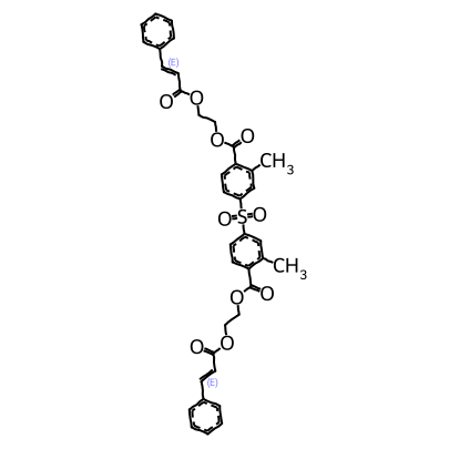 Cc1cc(S(=O)(=O)c2ccc(C(=O)OCCOC(=O)/C=C/c3ccccc3)c(C)c2)ccc1C(=O)OCCOC(=O)/C=C/c1ccccc1